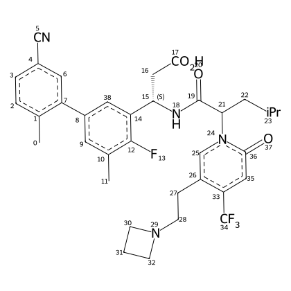 Cc1ccc(C#N)cc1-c1cc(C)c(F)c([C@H](CC(=O)O)NC(=O)C(CC(C)C)n2cc(CCN3CCC3)c(C(F)(F)F)cc2=O)c1